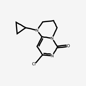 O=c1nc(Cl)cc2n1CCCN2C1CC1